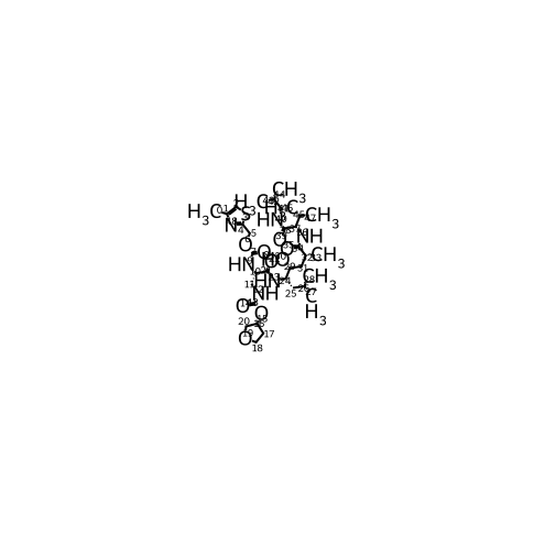 Cc1csc(COC(=O)N[C@@H](CNC(=O)O[C@H]2CCOC2)C(=O)N[C@@H](CC(C)C)[C@@H](O)C[C@@H](C)C(=O)N[C@H](C(=O)NCC(C)C)C(C)C)n1